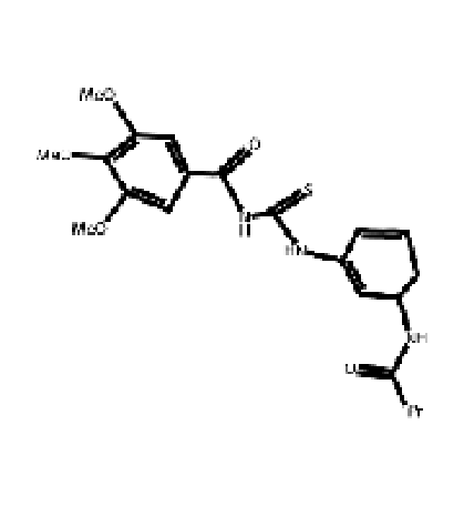 COc1cc(C(=O)NC(=S)NC2=CC(NC(=O)C(C)C)CC=C2)cc(OC)c1OC